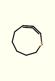 C1=CCCCCCSC=1